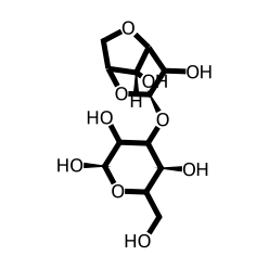 OCC1O[C@@H](O)C(O)C(O[C@H]2OC3COC(C2O)[C@@H]3O)[C@H]1O